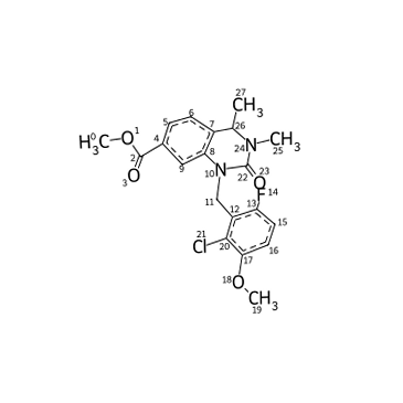 COC(=O)c1ccc2c(c1)N(Cc1c(F)ccc(OC)c1Cl)C(=O)N(C)C2C